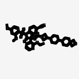 CCOc1ncccc1C1(NC(=O)N2CC(N3CCC(N4CCC5(CC4)COC5)CC3)C2)C(=O)N(S(=O)(=O)c2ccc(OC)cc2OC)c2ccc(C#N)cc21